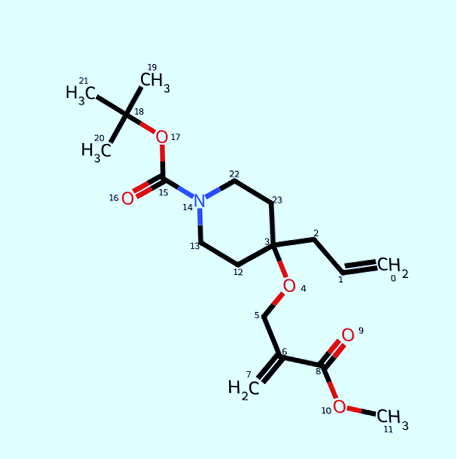 C=CCC1(OCC(=C)C(=O)OC)CCN(C(=O)OC(C)(C)C)CC1